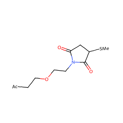 CSC1CC(=O)N(CCOCCC(C)=O)C1=O